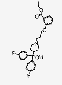 CCOC(=O)c1cccc(OCCCN2CCC(C(O)(c3ccc(F)cc3)c3ccc(F)cc3)CC2)c1